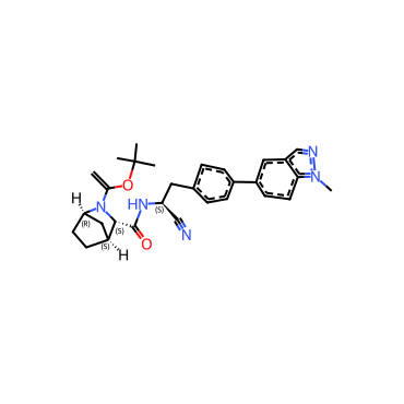 C=C(OC(C)(C)C)N1[C@@H]2CC[C@@H](C2)[C@H]1C(=O)N[C@H](C#N)Cc1ccc(-c2ccc3c(cnn3C)c2)cc1